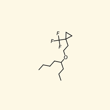 CCCCC(CCC)OCCC1(C(F)(F)F)CC1